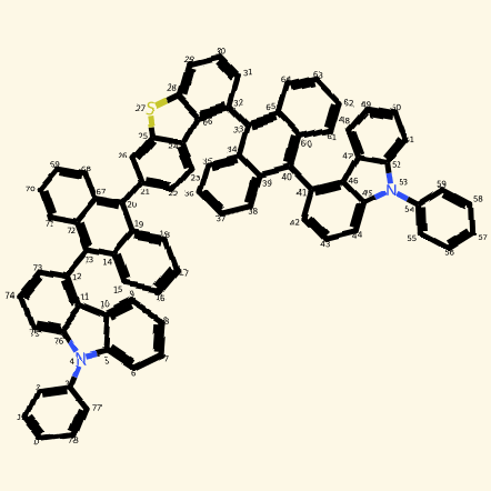 c1ccc(-n2c3ccccc3c3c(-c4c5ccccc5c(-c5ccc6c(c5)sc5cccc(-c7c8ccccc8c(-c8cccc9c8c8ccccc8n9-c8ccccc8)c8ccccc78)c56)c5ccccc45)cccc32)cc1